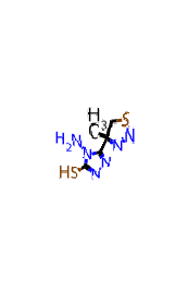 CC1(c2nnc(S)n2N)CSN=N1